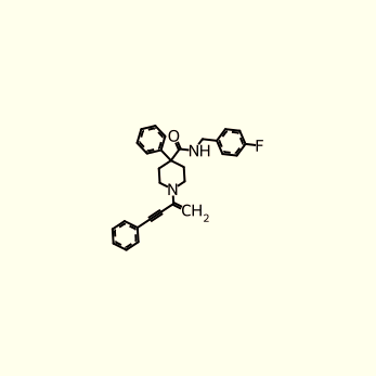 C=C(C#Cc1ccccc1)N1CCC(C(=O)NCc2ccc(F)cc2)(c2ccccc2)CC1